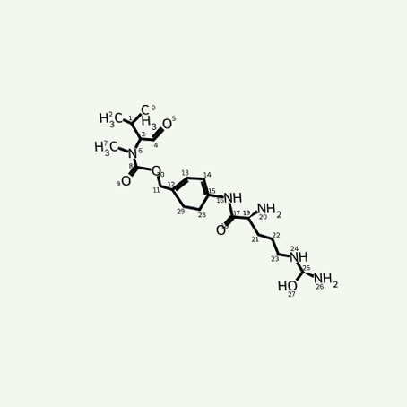 CC(C)C(C=O)N(C)C(=O)OCC1=CC=C(NC(=O)[C@@H](N)CCCN[C@@H](N)O)CC1